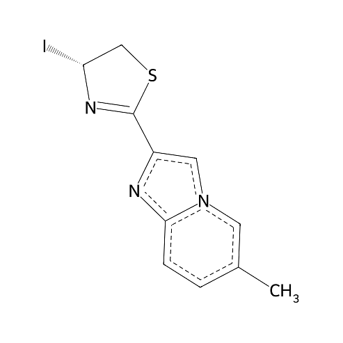 Cc1ccc2nc(C3=N[C@H](I)CS3)cn2c1